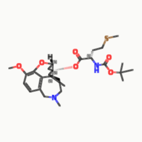 COc1ccc2c3c1O[C@H]1C[C@H](OC(=O)[C@H](CCSC)NC(=O)OC(C)(C)C)C(C)[C@@]31CCN(C)C2